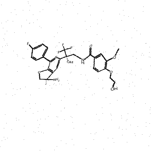 COc1cc(C(=O)NC[C@@](O)(c2cc3c(c(-c4ccc(F)cc4)n2)OC[C@]3(C)N)C(F)(F)F)ccc1OCCO